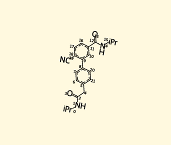 CC(C)NC(=O)Cc1ccc(-c2cc(C(=O)NC(C)C)ccc2C#N)cc1